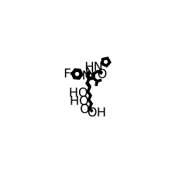 CC(C)c1c(C(=O)NC2CCCC2)nn(-c2ccc(F)cc2)c1/C=C/[C@H](O)C[C@@H](O)CC(=O)O